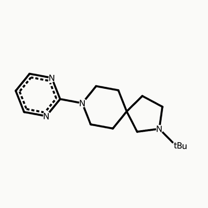 CC(C)(C)N1CCC2(CCN(c3ncccn3)CC2)C1